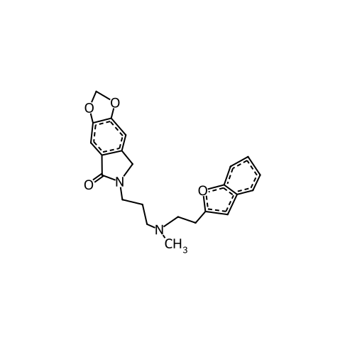 CN(CCCN1Cc2cc3c(cc2C1=O)OCO3)CCc1cc2ccccc2o1